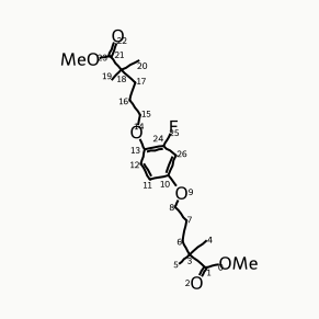 COC(=O)C(C)(C)CCCOc1ccc(OCCCC(C)(C)C(=O)OC)c(F)c1